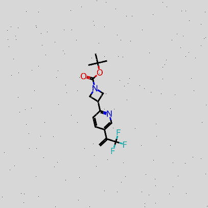 C=C(c1ccc(C2CN(C(=O)OC(C)(C)C)C2)nc1)C(F)(F)F